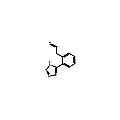 O=[C]Cc1ccccc1-c1nnn[nH]1